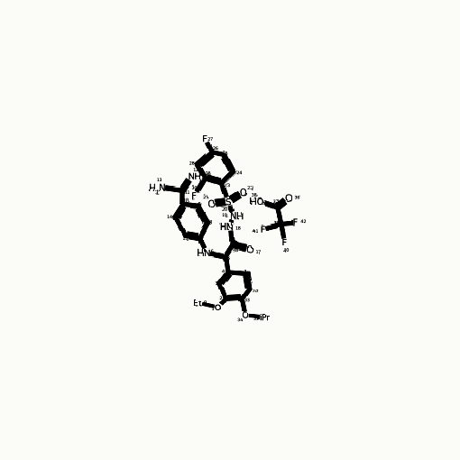 CCOc1cc(C(Nc2ccc(C(=N)N)cc2)C(=O)NNS(=O)(=O)c2ccc(F)cc2F)ccc1OC(C)C.O=C(O)C(F)(F)F